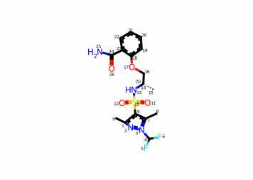 Cc1nn(C(F)F)c(C)c1S(=O)(=O)N[C@@H](C)COc1ccccc1C(N)=O